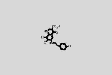 CCc1c(Cl)c(NCCc2ccc(Cl)cc2)cc2c(=O)c(C(=O)O)c[nH]c12